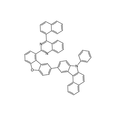 c1ccc(-n2c3ccc(-c4ccc5oc6cccc(-c7nc(-c8cccc9ccccc89)c8ccccc8n7)c6c5c4)cc3c3c4ccccc4ccc32)cc1